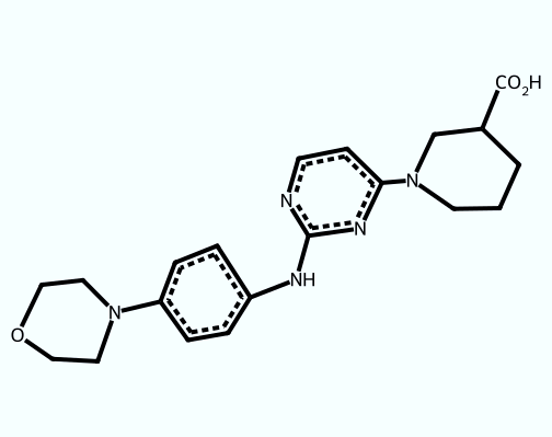 O=C(O)C1CCCN(c2ccnc(Nc3ccc(N4CCOCC4)cc3)n2)C1